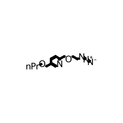 CCCOCc1ccc(COCCN=[N+]=[N-])nc1